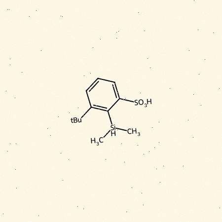 C[SiH](C)c1c(C(C)(C)C)cccc1S(=O)(=O)O